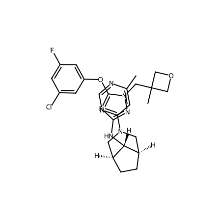 Cc1cc(N2C[C@H]3CC[C@@H](C2)[C@@H]3Nc2nc(Oc3cc(F)cc(Cl)c3)n(CC3(C)COC3)n2)ncn1